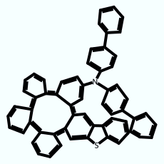 c1ccc(-c2ccc(N(c3ccc(-c4ccccc4)cc3)c3ccc4c5ccccc5c5ccccc5c5ccccc5c5cc6sc7ccccc7c6cc5c4c3)cc2)cc1